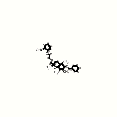 Cc1c(C)c2c(c(C)c1OCc1ccccc1)CCC(C)(CNCCOc1ccccc1C=O)O2